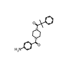 CC(C)(C(=O)N1CCN(C(=O)c2ccc(N)cc2)CC1)c1ccccc1